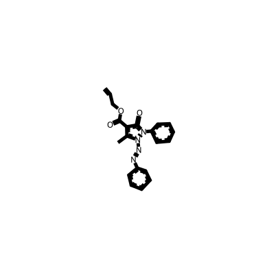 C=CCOC(=O)c1c(C)n(N=Nc2ccccc2)n(-c2ccccc2)c1=O